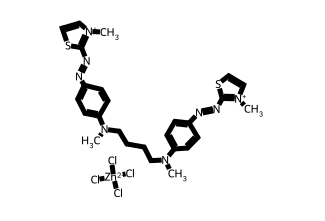 CN(CCCCN(C)c1ccc(N=Nc2scc[n+]2C)cc1)c1ccc(N=Nc2scc[n+]2C)cc1.[Cl][Zn-2]([Cl])([Cl])[Cl]